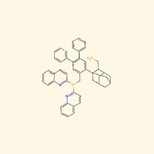 PCC1C2CC3CC(C2)CC1(c1cc(-c2ccccc2)c(-c2ccccc2)cc1CP(c1ccc2ccccc2n1)c1ccc2ccccc2n1)C3